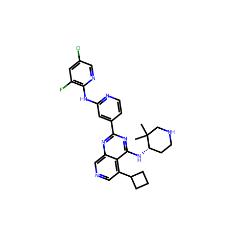 CC1(C)CNCC[C@@H]1Nc1nc(-c2ccnc(Nc3ncc(Cl)cc3F)c2)nc2cncc(C3CCC3)c12